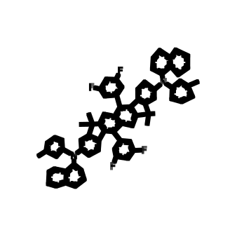 Cc1cccc(N(c2ccc3c(c2)C(C)(C)c2cc4c(-c5cc(F)cc(F)c5)c5c(cc4c(-c4cc(F)cc(F)c4)c2-3)C(C)(C)c2cc(N(c3cccc(C)c3)c3cccc4ccccc34)ccc2-5)c2cccc3ccccc23)c1